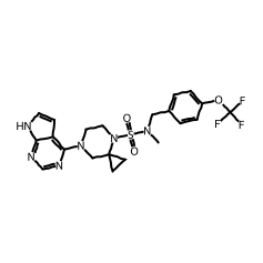 CN(Cc1ccc(OC(F)(F)F)cc1)S(=O)(=O)N1CCN(c2ncnc3[nH]ccc23)CC12CC2